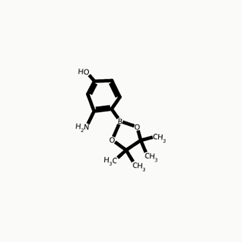 CC1(C)OB(c2ccc(O)cc2N)OC1(C)C